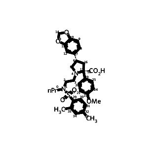 CCCN(CCN1C[C@H](c2ccc3c(c2)OCO3)C[C@@]1(C(=O)O)c1ccc(OC)cc1)S(=O)(=O)c1ccc(C)cc1C